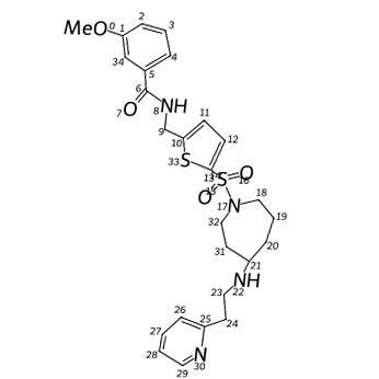 COc1cccc(C(=O)NCc2ccc(S(=O)(=O)N3CCCC(NCCc4ccccn4)CC3)s2)c1